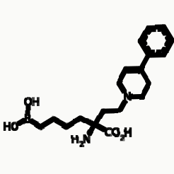 NC(CCCCB(O)O)(CCN1CC=C(c2ccccc2)CC1)C(=O)O